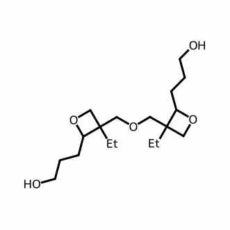 CCC1(COCC2(CC)COC2CCCO)COC1CCCO